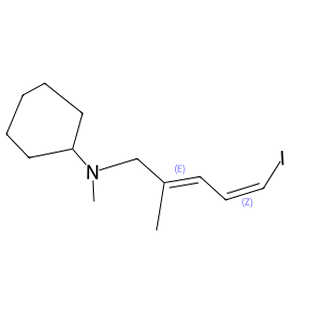 C/C(=C\C=C/I)CN(C)C1CCCCC1